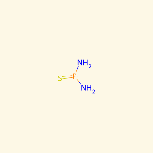 N[P](N)=S